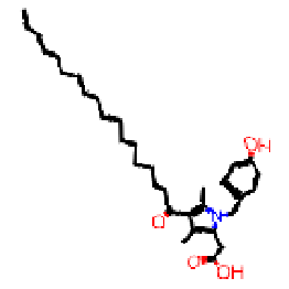 CCCCCCCCCCCCCCCCCC(=O)c1c(C)c(CC(=O)O)n(Cc2ccc(O)cc2)c1C